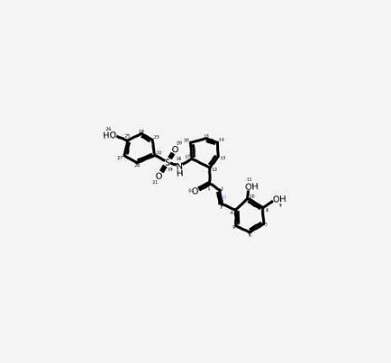 O=C(/C=C/c1cccc(O)c1O)c1ccccc1NS(=O)(=O)c1ccc(O)cc1